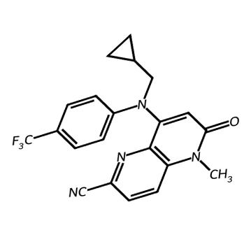 Cn1c(=O)cc(N(CC2CC2)c2ccc(C(F)(F)F)cc2)c2nc(C#N)ccc21